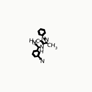 Cc1nn(-c2ccccc2)c(C)c1NC(C#N)c1cccc(C#N)c1